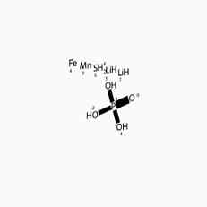 O=P(O)(O)O.S.[Fe].[LiH].[LiH].[Mn]